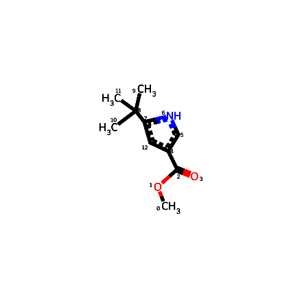 COC(=O)c1c[nH]c(C(C)(C)C)c1